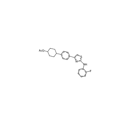 CC(=O)OC1CCC(c2ccc(-c3csc(Nc4ccccc4F)n3)cc2)CC1